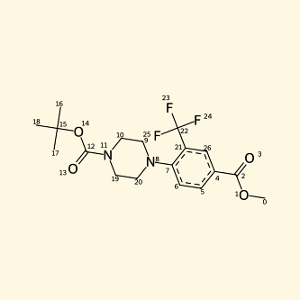 COC(=O)c1ccc(N2CCN(C(=O)OC(C)(C)C)CC2)c(C(F)(F)F)c1